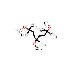 COC(C)(C)CCC(C)(CCC(C)(C)OC)OC